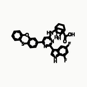 O=C(O)[C@H]1C2CCC(CC2)[C@@H]1Nc1cc(-c2ccc3c(c2)Oc2ccccc2S3)nc(-c2c[nH]c3c(F)cc(F)cc23)n1